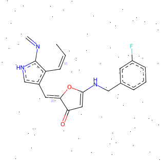 C=Nc1[nH]cc(/C=C2\OC(NCc3cccc(F)c3)=CC2=O)c1/C=C\C